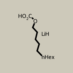 CCCCCCCCCCCOC(=O)O.[LiH]